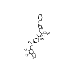 O=C(O)[C@H](Cc1cn(Cc2ccccc2)cn1)NC(=O)C1(O)CCN(C(=O)C=Cc2cc3ccsc3c(Cl)c2Cl)CC1